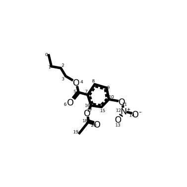 CCCCOC(=O)c1ccc(O[N+](=O)[O-])cc1OC(C)=O